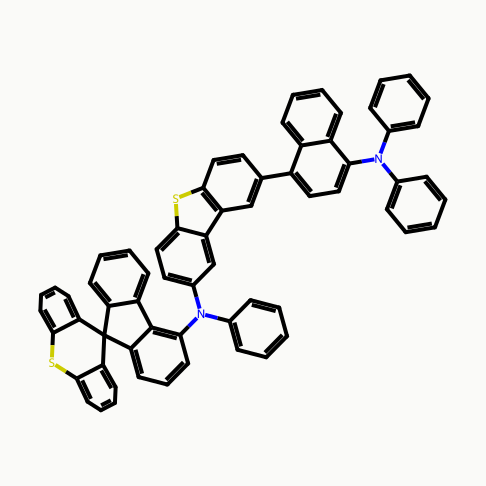 c1ccc(N(c2ccc3sc4ccc(-c5ccc(N(c6ccccc6)c6ccccc6)c6ccccc56)cc4c3c2)c2cccc3c2-c2ccccc2C32c3ccccc3Sc3ccccc32)cc1